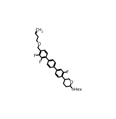 C=CCCOCc1ccc(-c2ccc(-c3ccc(C4CCC(CCCCCC)OC4)c(F)c3)cc2)c(F)c1F